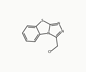 ClCc1nnc2sc3ccccc3n12